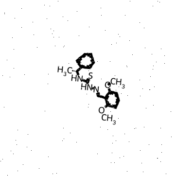 COc1cccc(OC)c1C=NNC(=S)N[C@H](C)c1ccccc1